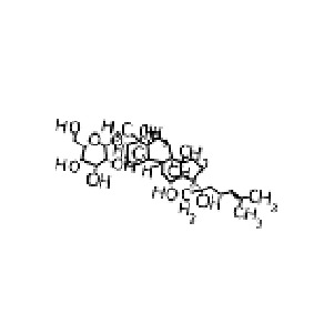 CC(C)=CCCC(C)(O)[C@H]1CC[C@]2(C)C1[C@H](O)C[C@@H]1[C@@]3(C)CC[C@H](O[C@@H]4O[C@H](CO)[C@@H](O)[C@H](O)[C@H]4O)C(C)(C)[C@@H]3CC[C@]12C